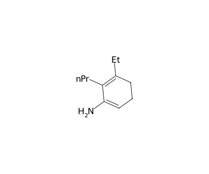 CCCC1=C(CC)CCC=C1N